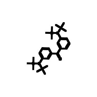 C[Si](C)(C)N(c1cccc(C(=O)c2cccc(N([Si](C)(C)C)[Si](C)(C)C)c2)c1)[Si](C)(C)C